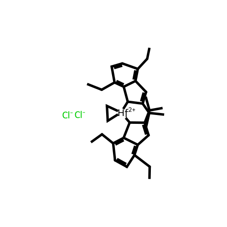 CCc1ccc(CC)c2c1C=C(C(C)C)[CH]2[Hf+2]1([CH]2C(C(C)C)=Cc3c(CC)ccc(CC)c32)[CH2][CH2]1.[Cl-].[Cl-]